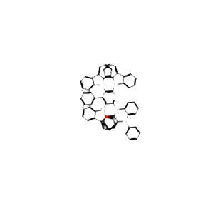 Cc1cc(C)cc(-c2c(-n3c4ccccc4c4ccccc43)c(N3c4ccccc4N(c4ccccc4)c4ccccc43)nc(-n3c4ccccc4c4ccccc43)c2-n2c3ccccc3c3ccccc32)c1